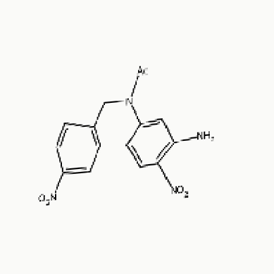 CC(=O)N(Cc1ccc([N+](=O)[O-])cc1)c1ccc([N+](=O)[O-])c(N)c1